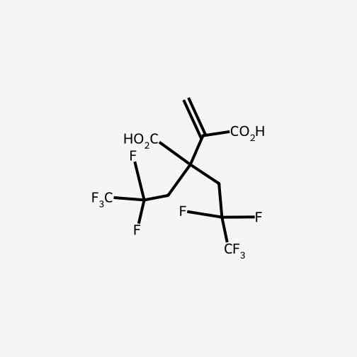 C=C(C(=O)O)C(CC(F)(F)C(F)(F)F)(CC(F)(F)C(F)(F)F)C(=O)O